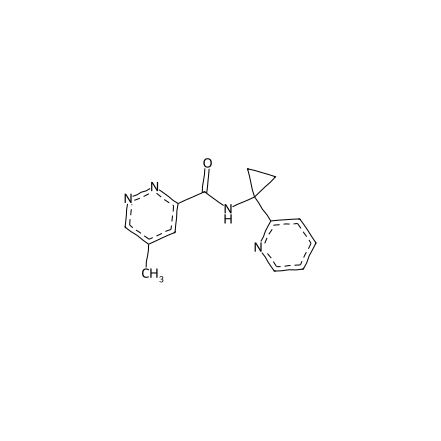 Cc1cnnc(C(=O)NC2(c3ccccn3)CC2)c1